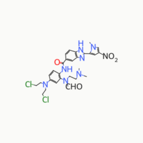 CN(C)CCN(C=O)c1cc(N(CCCl)CCCl)ccc1NC(=O)c1ccc2[nH]c(-c3cc([N+](=O)[O-])cn3C)nc2c1